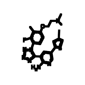 Cc1csc(-c2cnc(N)c(-c3nnnn3-c3ccc(OCCN(C)C)c(C)c3F)c2)c1